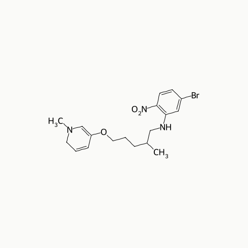 CC(CCCOC1=CN(C)CC=C1)CNc1cc(Br)ccc1[N+](=O)[O-]